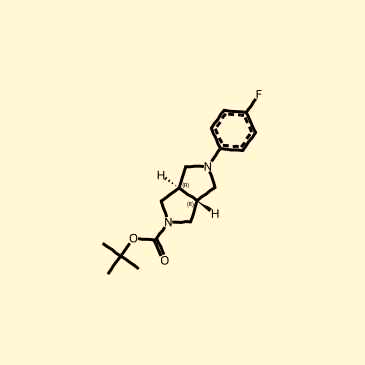 CC(C)(C)OC(=O)N1C[C@H]2CN(c3ccc(F)cc3)C[C@@H]2C1